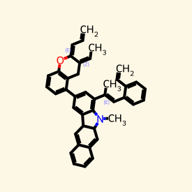 C=C/C=C1/Oc2cccc(-c3cc(/C(C)=C/c4ccccc4C=C)c4c(c3)C3C=c5ccccc5=CC3N4C)c2C/C1=C/C